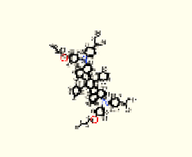 CCCCOc1ccc(N(c2ccc(C(C)CC)cc2)c2ccc3c4c(-c5ccccc5)c5c6ccc(N(c7ccc(OCCCC)cc7)c7ccc(C(C)CC)cc7)c7cccc(c5c(-c5ccccc5)c4c4cccc2c43)c76)cc1